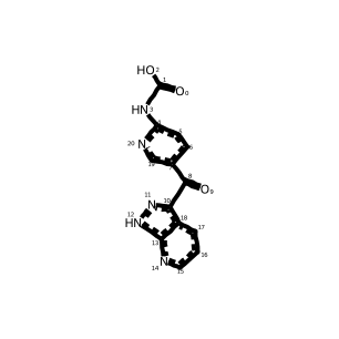 O=C(O)Nc1ccc(C(=O)c2n[nH]c3ncccc23)cn1